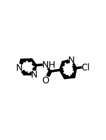 O=C(Nc1ccncn1)c1ccc(Cl)nc1